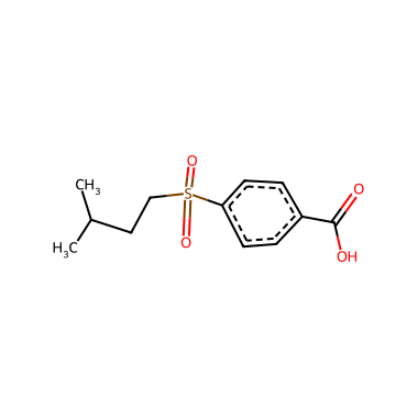 CC(C)CCS(=O)(=O)c1ccc(C(=O)O)cc1